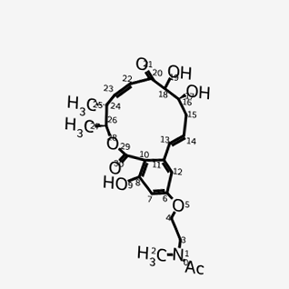 CC(=O)N(C)CCOc1cc(O)c2c(c1)/C=C/C[C@H](O)C(O)C(=O)/C=C\[C@@H](C)[C@H](C)OC2=O